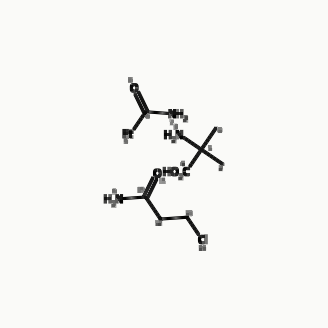 CC(C)(N)C(=O)O.CCC(N)=O.NC(=O)CCCl